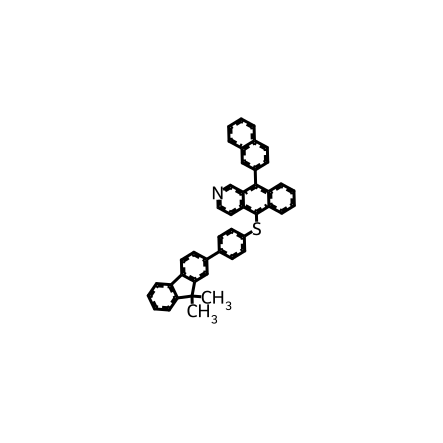 CC1(C)c2ccccc2-c2ccc(-c3ccc(Sc4c5ccccc5c(-c5ccc6ccccc6c5)c5cnccc45)cc3)cc21